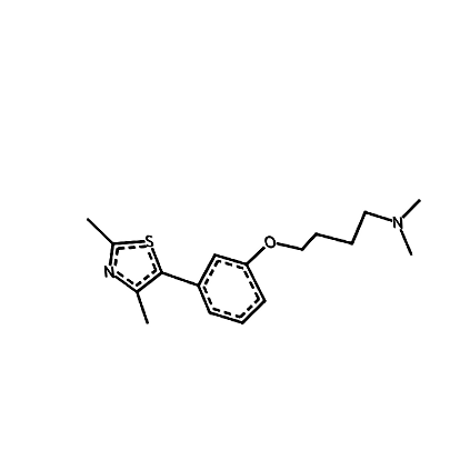 Cc1nc(C)c(-c2cccc(OCCCCN(C)C)c2)s1